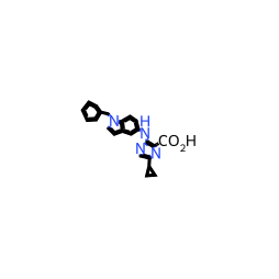 O=C(O)c1nc(C2CC2)cnc1Nc1ccc2c(ccn2Cc2ccccc2)c1